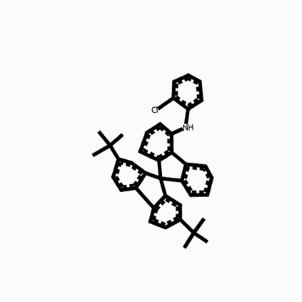 CC(C)(C)c1ccc2c(c1)C1(c3cc(C(C)(C)C)ccc3-2)c2ccccc2-c2c(Nc3ccccc3Cl)cccc21